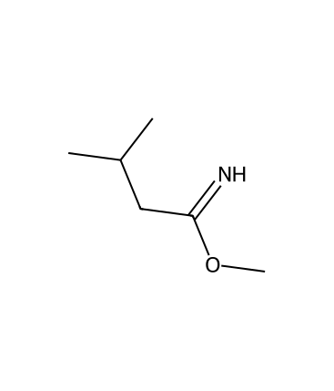 COC(=N)CC(C)C